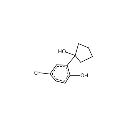 Oc1ccc(Cl)cc1C1(O)CCCC1